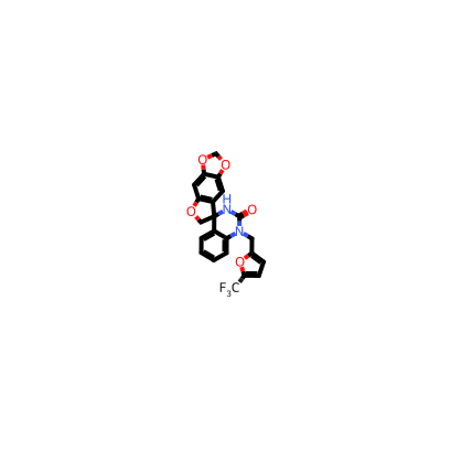 O=C1NC2(COc3cc4c(cc32)OCO4)c2ccccc2N1Cc1ccc(C(F)(F)F)o1